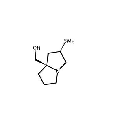 CS[C@@H]1CN2CCC[C@]2(CO)C1